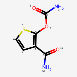 NC(=O)Oc1sccc1C(N)=O